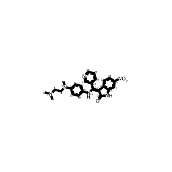 CN(C)CCN(C)c1ccc(N/C(=C2\C(=O)Nc3cc([N+](=O)[O-])ccc32)c2cccnc2)cc1